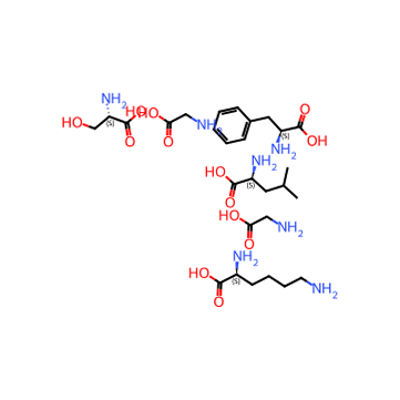 CC(C)C[C@H](N)C(=O)O.NCC(=O)O.NCC(=O)O.NCCCC[C@H](N)C(=O)O.N[C@@H](CO)C(=O)O.N[C@@H](Cc1ccccc1)C(=O)O